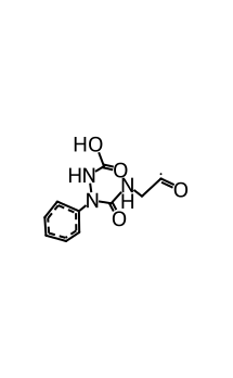 O=[C]CNC(=O)N(NC(=O)O)c1ccccc1